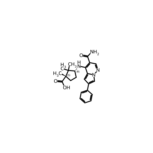 CC1(C)[C@H](Nc2c(C(N)=O)cnn3cc(-c4ccccc4)cc23)CC[C@]1(C)C(=O)O